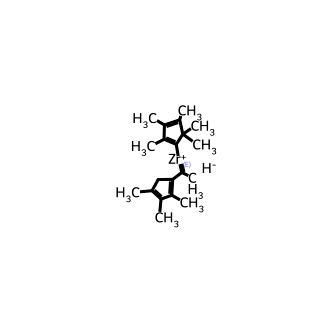 CC1=C(C)C(C)=C(/[C](C)=[Zr+]/[C]2=C(C)C(C)=C(C)C2(C)C)C1.[H-]